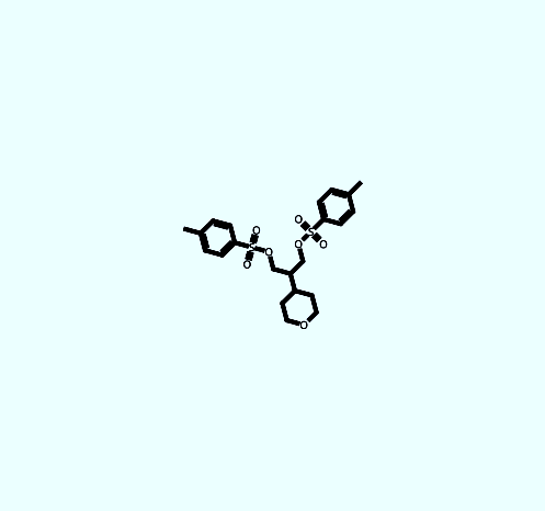 Cc1ccc(S(=O)(=O)OCC(COS(=O)(=O)c2ccc(C)cc2)C2CCOCC2)cc1